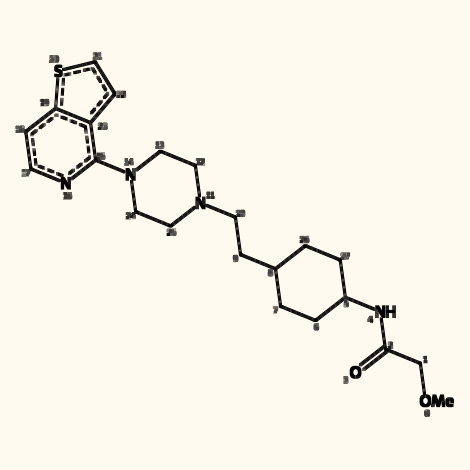 COCC(=O)NC1CCC(CCN2CCN(c3nccc4sccc34)CC2)CC1